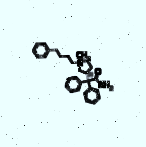 C[N+]1(CCCCc2ccccc2)CC[C@H](C(C(N)=O)(c2ccccc2)c2ccccc2)C1